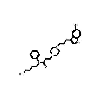 CCCCCN(C(=O)CCN1CCN(CCCc2c[nH]c3ccc(O)cc23)CC1)c1ccccc1